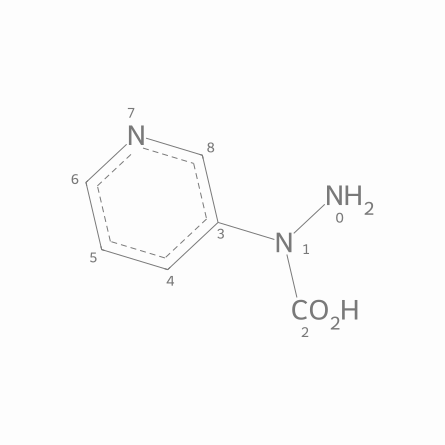 NN(C(=O)O)c1cccnc1